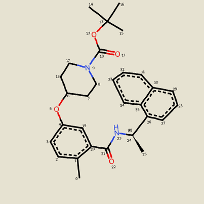 Cc1ccc(OC2CCN(C(=O)OC(C)(C)C)CC2)cc1C(=O)N[C@H](C)c1cccc2ccccc12